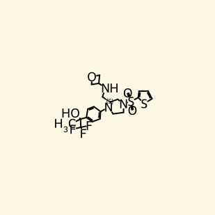 CC(O)(c1ccc(N2CCN(S(=O)(=O)c3cccs3)C[C@@H]2CNC2COC2)cc1)C(F)(F)F